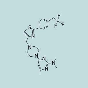 Cc1cc(N2CCN(Cc3csc(-c4ccc(CC(F)(F)F)cc4)n3)CC2)nc(N(C)C)n1